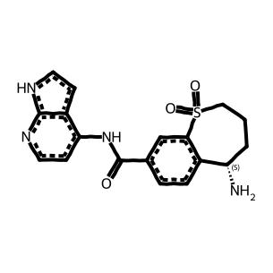 N[C@H]1CCCS(=O)(=O)c2cc(C(=O)Nc3ccnc4[nH]ccc34)ccc21